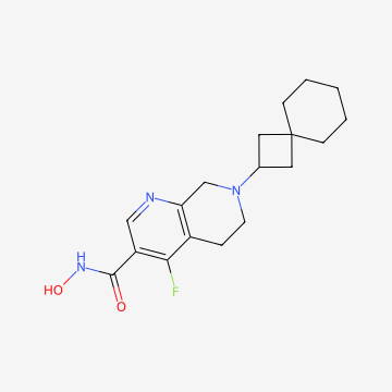 O=C(NO)c1cnc2c(c1F)CCN(C1CC3(CCCCC3)C1)C2